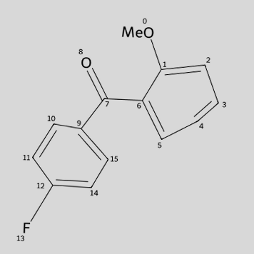 COc1ccccc1C(=O)c1ccc(F)cc1